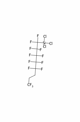 FC(F)(F)CCC(F)(F)C(F)(F)C(F)(F)C(F)(F)C(F)(F)[Si](Cl)(Cl)Cl